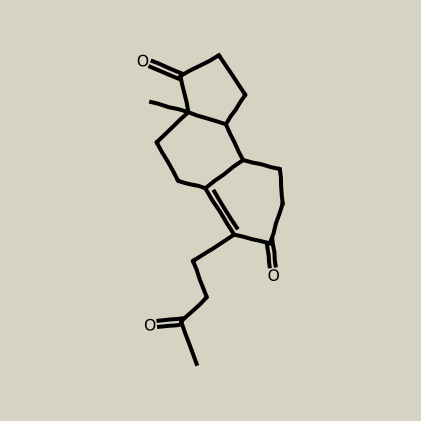 CC(=O)CCC1=C2CCC3(C)C(=O)CCC3C2CCC1=O